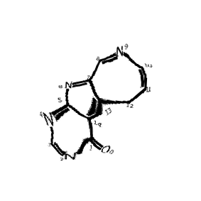 O=C1N=CN=C2N=C3C=NC=CCC3=C12